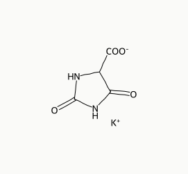 O=C1NC(=O)C(C(=O)[O-])N1.[K+]